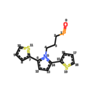 O=PCCCn1c(-c2cccs2)ccc1-c1cccs1